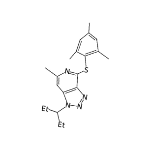 CCC(CC)n1nnc2c(Sc3c(C)cc(C)cc3C)nc(C)cc21